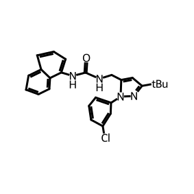 CC(C)(C)c1cc(CNC(=O)Nc2cccc3ccccc23)n(-c2cccc(Cl)c2)n1